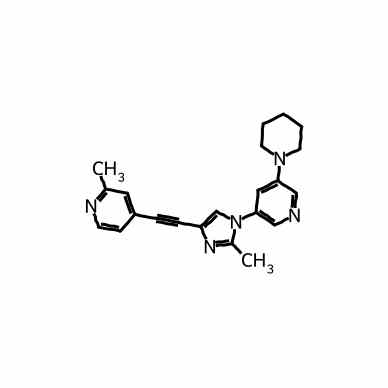 Cc1cc(C#Cc2cn(-c3cncc(N4CCCCC4)c3)c(C)n2)ccn1